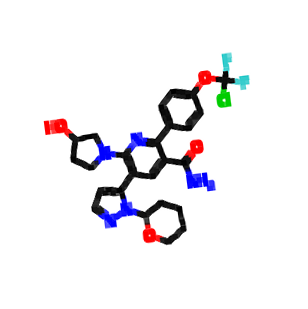 NC(=O)c1cc(-c2ccnn2C2CCCCO2)c(N2CCC(O)C2)nc1-c1ccc(OC(F)(F)Cl)cc1